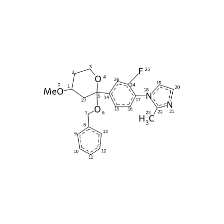 COC1CCOC(OCc2ccccc2)(c2ccc(-n3ccnc3C)c(F)c2)C1